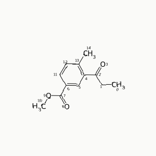 CCC(=O)c1cc(C(=O)OC)ccc1C